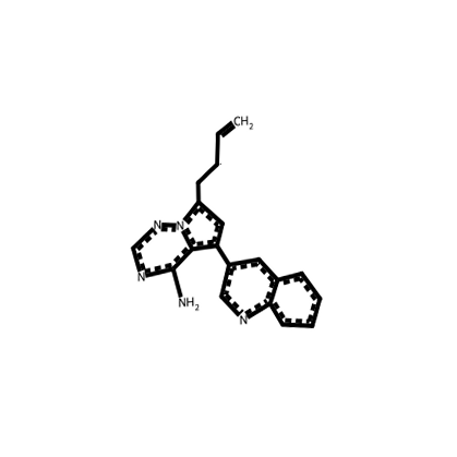 C=C[CH]Cc1cc(-c2cnc3ccccc3c2)c2c(N)ncnn12